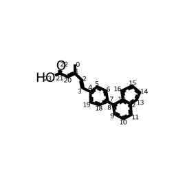 CC(C=Cc1ccc(-c2cccc3ccccc23)cc1)=CC(=O)O